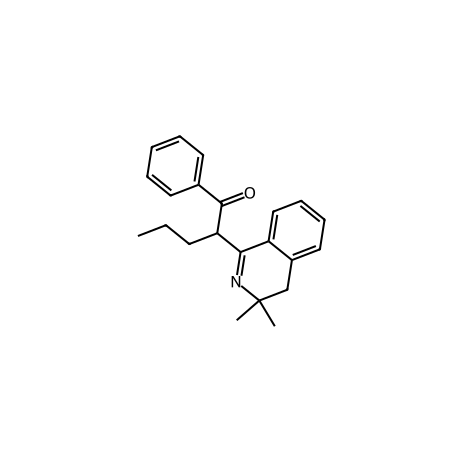 CCCC(C(=O)c1ccccc1)C1=NC(C)(C)Cc2ccccc21